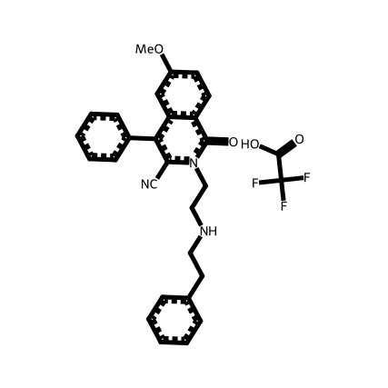 COc1ccc2c(=O)n(CCNCCc3ccccc3)c(C#N)c(-c3ccccc3)c2c1.O=C(O)C(F)(F)F